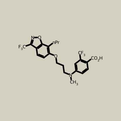 CCCc1c(OCCCN(C)c2ccc(C(=O)O)c(C(F)(F)F)c2)ccc2c(C(F)(F)F)noc12